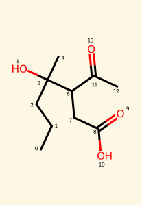 CCCC(C)(O)C(CC(=O)O)C(C)=O